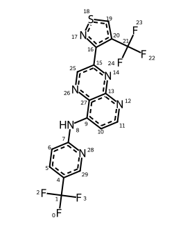 FC(F)(F)c1ccc(Nc2ccnc3nc(-c4nscc4C(F)(F)F)cnc23)nc1